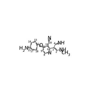 CN/C=C(\C=N)c1nccc(Oc2ccc(N)cc2)c1C#N